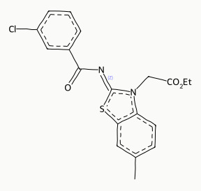 CCOC(=O)Cn1/c(=N/C(=O)c2cccc(Cl)c2)sc2cc(C)ccc21